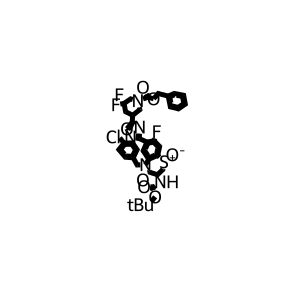 CC(C)(C)OC(=O)N[C@H]1C[S+]([O-])c2cc(F)c(-c3noc(C4CN(C(=O)OCc5ccccc5)CC(F)(F)C4)n3)cc2N(Cc2ccc(Cl)cc2)C1=O